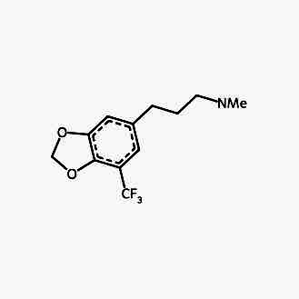 CNCCCc1cc2c(c(C(F)(F)F)c1)OCO2